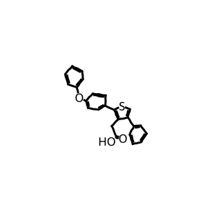 O=C(O)Cc1c(-c2ccccc2)csc1-c1ccc(Oc2ccccc2)cc1